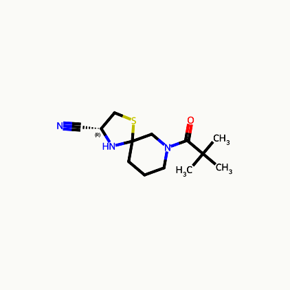 CC(C)(C)C(=O)N1CCCC2(C1)N[C@H](C#N)CS2